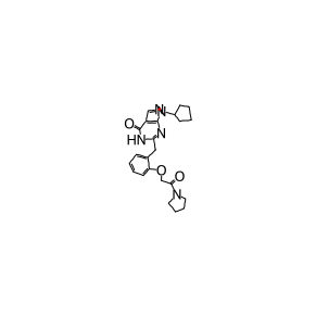 O=C(COc1ccccc1Cc1nc2c(cnn2C2CCCC2)c(=O)[nH]1)N1CCCC1